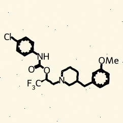 COc1cccc(CC2CCCN(C[C@H](OC(=O)Nc3ccc(Cl)cc3)C(F)(F)F)C2)c1